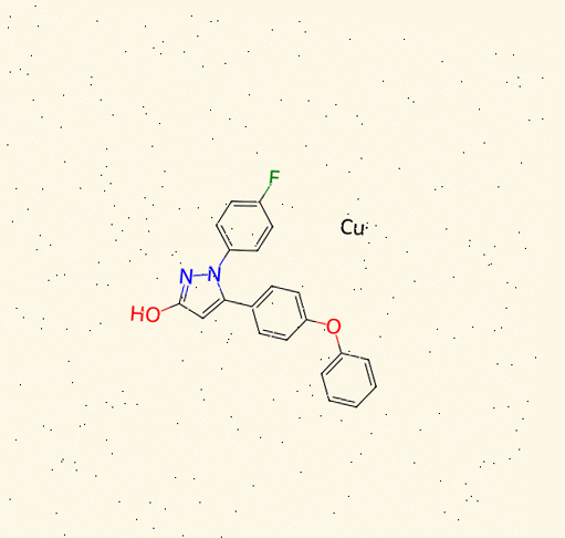 Oc1cc(-c2ccc(Oc3ccccc3)cc2)n(-c2ccc(F)cc2)n1.[Cu]